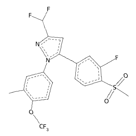 Cc1cc(-n2nc(C(F)F)cc2-c2ccc(S(C)(=O)=O)c(F)c2)ccc1OC(F)(F)F